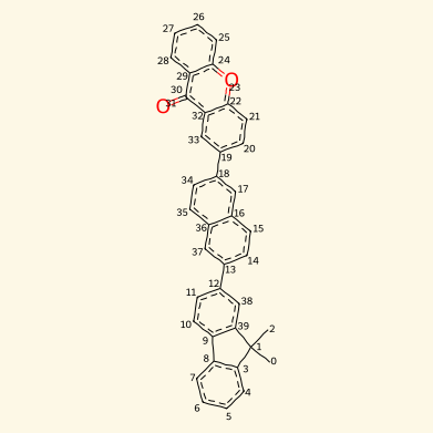 CC1(C)c2ccccc2-c2ccc(-c3ccc4cc(-c5ccc6oc7ccccc7c(=O)c6c5)ccc4c3)cc21